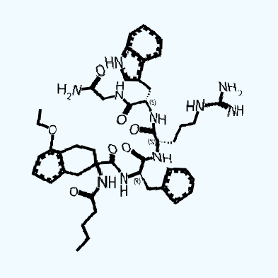 CCCCC(=O)NC1(C(=O)N[C@H](Cc2ccccc2)C(=O)N[C@@H](CCCNC(=N)N)C(=O)N[C@@H](Cc2c[nH]c3ccccc23)C(=O)NCC(N)=O)CCc2c(cccc2OCC)C1